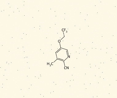 Cc1cc(OCC(F)(F)F)cnc1C#N